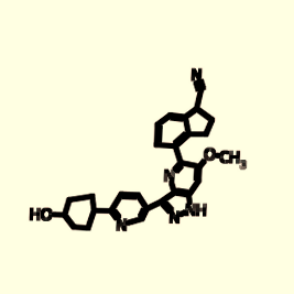 COc1cc2[nH]nc(-c3ccc(C4CCC(O)CC4)nc3)c2nc1-c1cccc2c1CCC2C#N